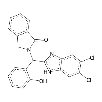 O=C1c2ccccc2CN1C(c1nc2cc(Cl)c(Cl)cc2[nH]1)c1ccccc1O